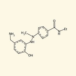 CCNC(=O)c1ccc(N(C)Nc2cc(CN)ccc2O)cc1